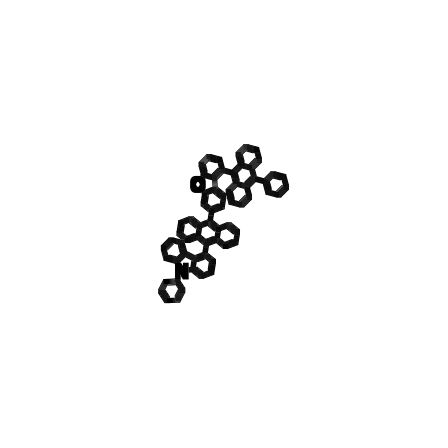 c1ccc(-c2c3ccccc3c(-c3cccc4oc5cc(-c6c7ccccc7c(-c7cccc8c7c7ccccc7n8-c7ccccc7)c7ccccc67)ccc5c34)c3ccccc23)cc1